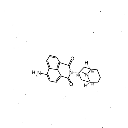 CN1[C@@H]2CCC[C@H]1C[C@H](N1C(=O)c3cccc4c(N)ccc(c34)C1=O)C2